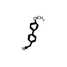 COc1ccc(-c2ccc(CC#N)cc2)cc1